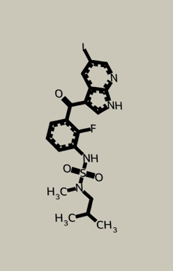 CC(C)CN(C)S(=O)(=O)Nc1cccc(C(=O)c2c[nH]c3ncc(I)cc23)c1F